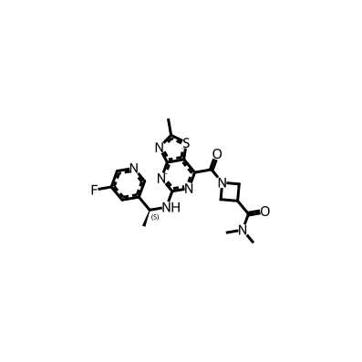 Cc1nc2nc(N[C@@H](C)c3cncc(F)c3)nc(C(=O)N3CC(C(=O)N(C)C)C3)c2s1